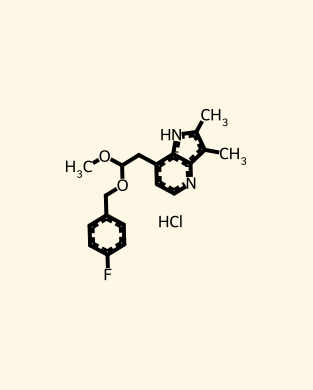 COC(Cc1ccnc2c(C)c(C)[nH]c12)OCc1ccc(F)cc1.Cl